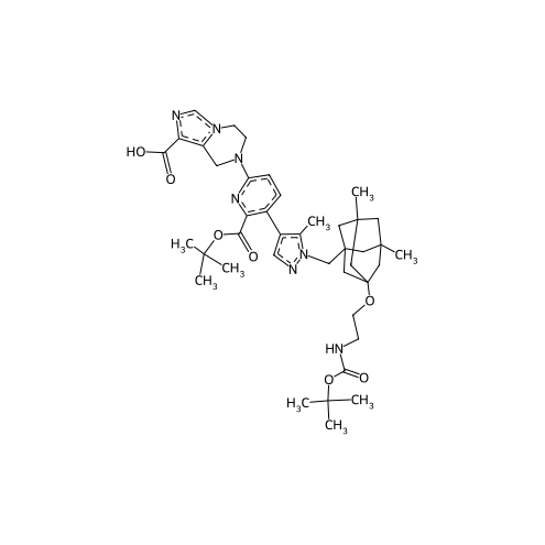 Cc1c(-c2ccc(N3CCn4cnc(C(=O)O)c4C3)nc2C(=O)OC(C)(C)C)cnn1CC12CC3(C)CC(C)(C1)CC(OCCNC(=O)OC(C)(C)C)(C3)C2